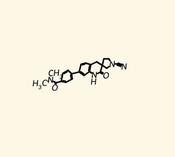 CN(C)C(=O)c1ccc(-c2ccc3c(c2)NC(=O)C2(CCN(C#N)C2)C3)cc1